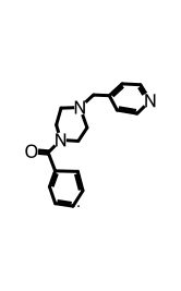 O=C(c1cc[c]cc1)N1CCN(Cc2ccncc2)CC1